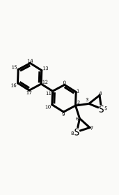 C1=CC(C2CS2)(C2CS2)CC=C1c1ccccc1